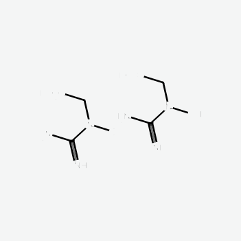 CN(CC(=O)O)C(=N)N.CN(CC(=O)O)C(=N)N